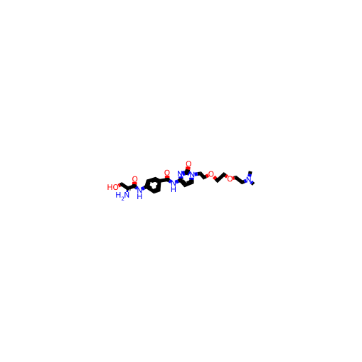 CN(C)CCOCCOCCn1ccc(NC(=O)c2ccc(NC(=O)[C@@H](N)CO)cc2)nc1=O